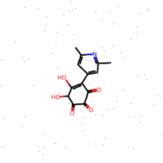 Cc1cc(C2=C(O)C(O)C(=O)C(=O)C2=O)cc(C)n1